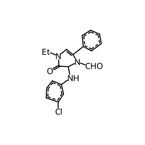 CCN1C=C(c2ccccc2)N(C=O)C(Nc2cccc(Cl)c2)C1=O